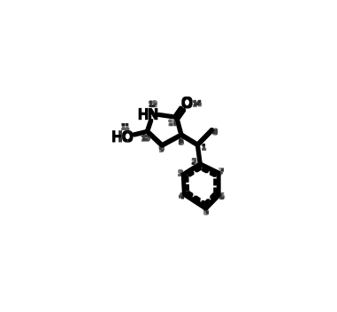 CC(c1ccccc1)C1CC(O)NC1=O